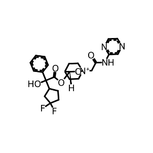 O=C(C[N+]12CCC(CC1)[C@@H](OC(=O)C(O)(c1ccccc1)C1CCC(F)(F)C1)C2)Nc1cnccn1